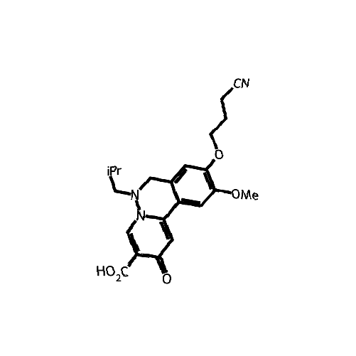 COc1cc2c(cc1OCCCC#N)CN(CC(C)C)n1cc(C(=O)O)c(=O)cc1-2